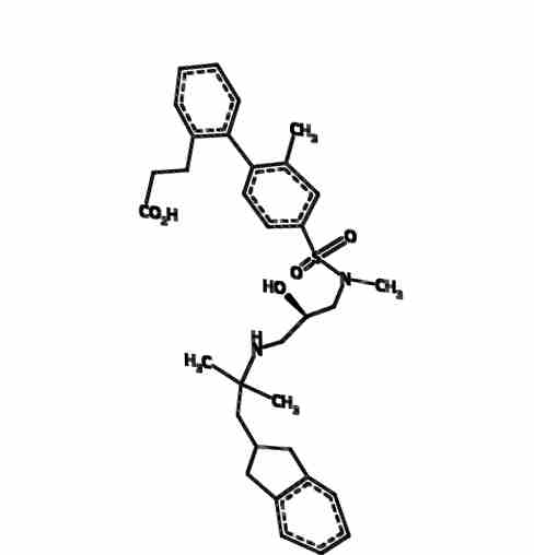 Cc1cc(S(=O)(=O)N(C)C[C@H](O)CNC(C)(C)CC2Cc3ccccc3C2)ccc1-c1ccccc1CCC(=O)O